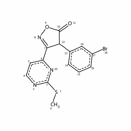 CSc1nccc(C2=NOC(=O)C2c2cccc(Br)c2)n1